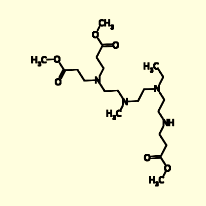 CCN(CCNCCC(=O)OC)CCN(C)CCN(CCC(=O)OC)CCC(=O)OC